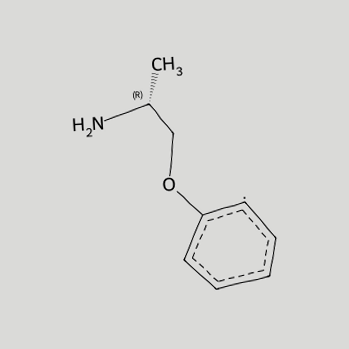 C[C@@H](N)COc1[c]cccc1